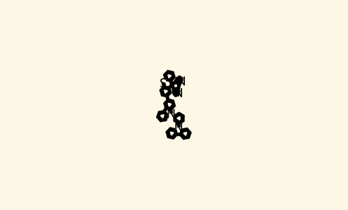 c1cc(-n2c3ccccc3c3ccccc32)cc(-n2c3ccccc3c3cc(-c4ccc5c(c4)C4(c6ccccc6S5)c5cccnc5-c5ncccc54)ccc32)c1